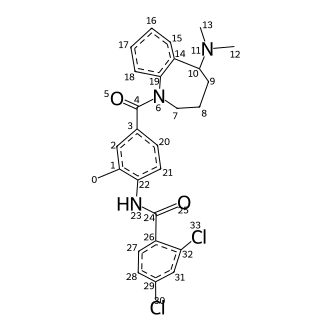 Cc1cc(C(=O)N2CCCC(N(C)C)c3ccccc32)ccc1NC(=O)c1ccc(Cl)cc1Cl